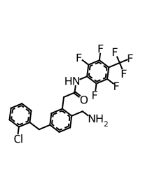 NCc1ccc(Cc2ccccc2Cl)cc1CC(=O)Nc1c(F)c(F)c(C(F)(F)F)c(F)c1F